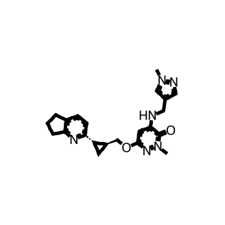 Cn1cc(CNc2cc(OC[C@H]3C[C@@H]3c3ccc4c(n3)CCC4)nn(C)c2=O)cn1